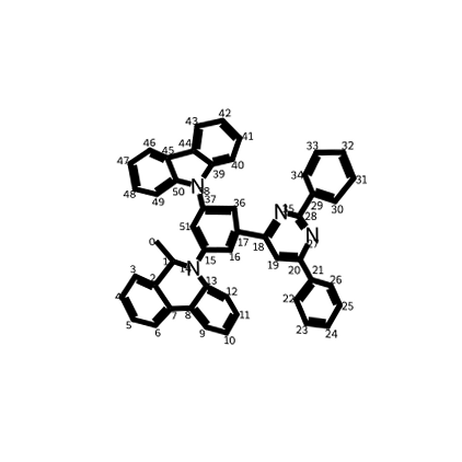 CC1c2ccccc2-c2ccccc2N1c1cc(-c2cc(-c3ccccc3)nc(-c3ccccc3)n2)cc(-n2c3ccccc3c3ccccc32)c1